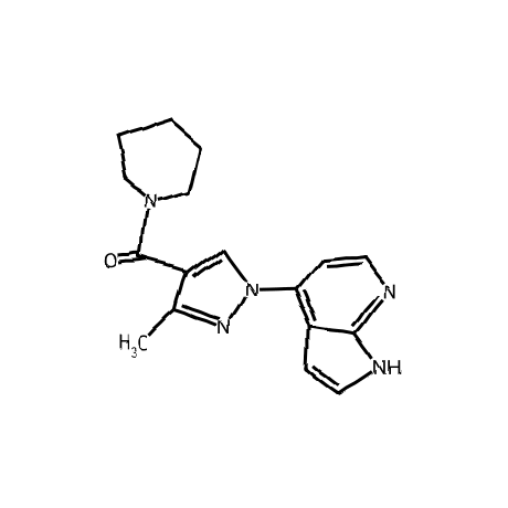 Cc1nn(-c2ccnc3[nH]ccc23)cc1C(=O)N1CCCCC1